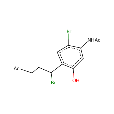 CC(=O)CCC(Br)c1cc(Br)c(NC(C)=O)cc1O